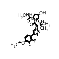 CCOc1ccc(-c2cn([C@H](C(=O)N3C[C@H](O)C[C@H]3C(=O)NC)C(C)(C)C)nn2)c(F)c1F